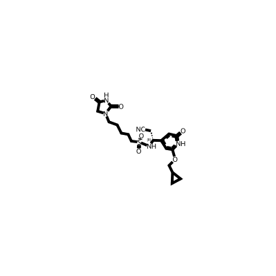 N#CC[C@@H](NS(=O)(=O)CCCCCN1CC(=O)NC1=O)c1cc(OCC2CC2)[nH]c(=O)c1